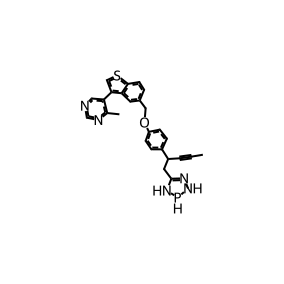 CC#CC(CC1=NNPN1)c1ccc(OCc2ccc3scc(-c4cncnc4C)c3c2)cc1